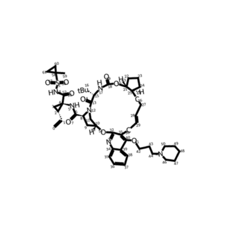 C=C[C@@H]1C[C@]1(NC(=O)[C@@H]1C[C@@H]2CN1C(=O)[C@H](C(C)(C)C)NC(=O)O[C@@H]1CCC[C@H]1CC/C=C/Cc1c(nc3ccccc3c1OCCCN1CCCCC1)O2)C(=O)NS(=O)(=O)C1(C)CC1